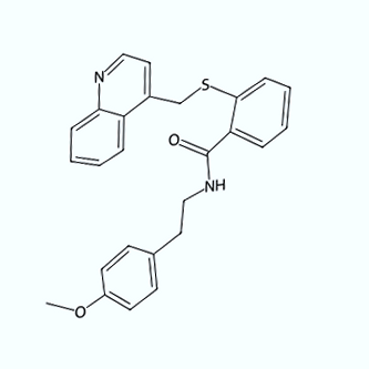 COc1ccc(CCNC(=O)c2ccccc2SCc2ccnc3ccccc23)cc1